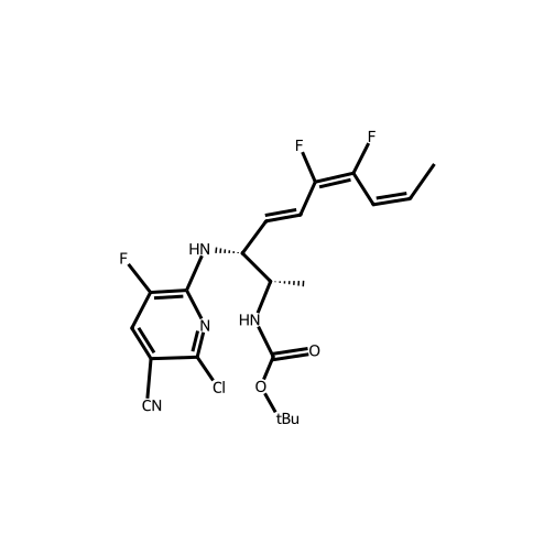 C\C=C/C(F)=C(F)\C=C\[C@@H](Nc1nc(Cl)c(C#N)cc1F)[C@H](C)NC(=O)OC(C)(C)C